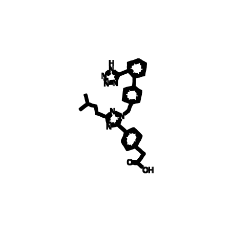 CC(C)CCc1nc(-c2ccc(CC(=O)O)cc2)n(Cc2ccc(-c3ccccc3-c3nnn[nH]3)cc2)n1